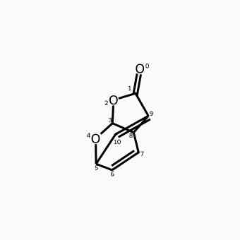 O=C1OC2OC3C=CC2C1=C3